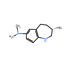 CCCC[C@H]1CCc2cc(N(C)C)ccc2NC1